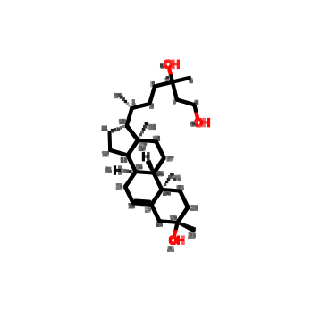 C[C@H](CCC(C)(O)CCO)[C@H]1CCC2[C@@H]3CC=C4C[C@@](C)(O)CC[C@]4(C)[C@H]3CC[C@@]21C